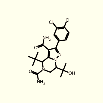 CC(C)(C)C1c2c(C(N)=O)c(-c3ccc(Cl)c(Cl)c3)nn2C(C(C)(C)O)CN1C(N)=O